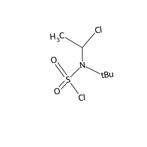 CC(Cl)N(C(C)(C)C)S(=O)(=O)Cl